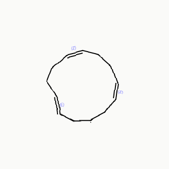 [CH]1C/C=C\CC/C=C\CC/C=C/C1